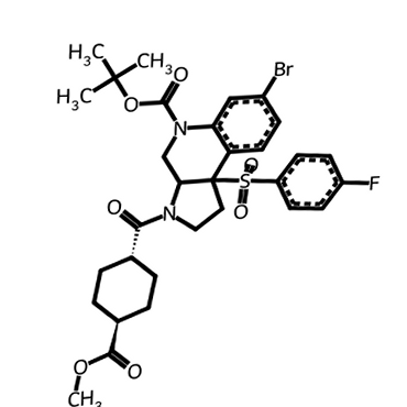 COC(=O)[C@H]1CC[C@H](C(=O)N2CCC3(S(=O)(=O)c4ccc(F)cc4)c4ccc(Br)cc4N(C(=O)OC(C)(C)C)CC23)CC1